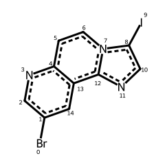 Brc1cnc2ccn3c(I)cnc3c2c1